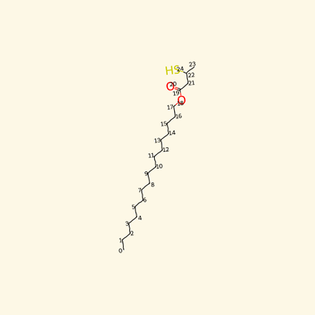 CCCCCCCCCCCCCCCCCCOC(=O)CC(C)S